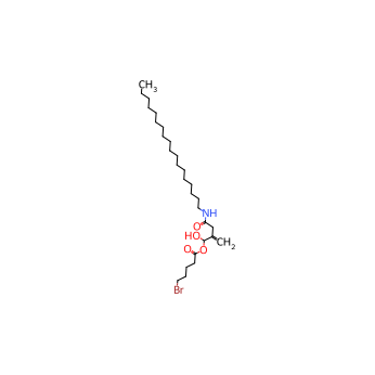 C=C(CC(=O)NCCCCCCCCCCCCCCCCCC)C(O)OC(=O)CCCCBr